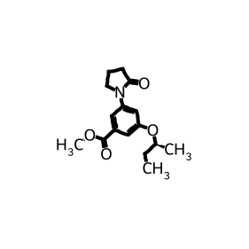 CC[C@H](C)Oc1cc(C(=O)OC)cc(N2CCCC2=O)c1